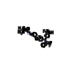 CN(C)C(=O)/C=C/CN1CCC[C@@H](Oc2ccc(/C(=C(/CC(F)(F)F)c3ccccc3)c3ccc4[nH]nc(F)c4c3)cn2)C1